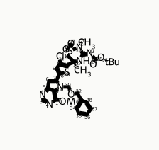 COc1ncnc2cc(-c3cc(Cl)c([C@]4(C)CS(=O)(=O)N(C)/C(=N/C(=O)OC(C)(C)C)N4)s3)n(COCc3ccccc3)c12